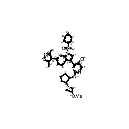 COC1CN(C2CCCC2Nc2ncc(C(F)(F)F)c(-c3cn(S(=O)(=O)c4ccccc4)c4nc(-c5c(C)noc5C)ccc34)n2)C1